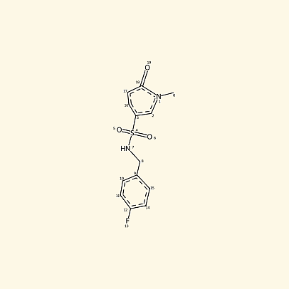 Cn1cc(S(=O)(=O)NCc2ccc(F)cc2)ccc1=O